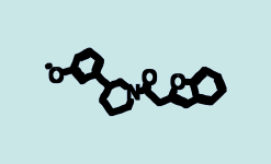 COc1cccc(C2CCCN(C(=O)Cc3cc4ccccc4o3)C2)c1